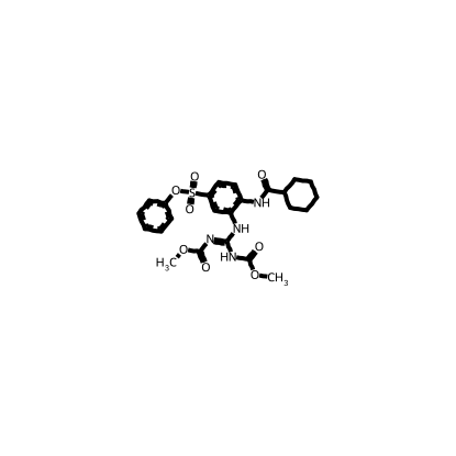 COC(=O)N=C(NC(=O)OC)Nc1cc(S(=O)(=O)Oc2ccccc2)ccc1NC(=O)C1CCCCC1